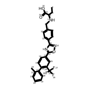 CCC(NCc1ccc(-c2noc(-c3ccc(-c4ccccc4C)c(C(F)(F)F)c3)n2)cc1)C(=O)O